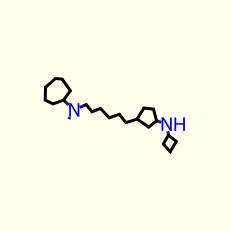 CN(CCCCCCC1CCC(NC2CCC2)C1)C1CCCCCC1